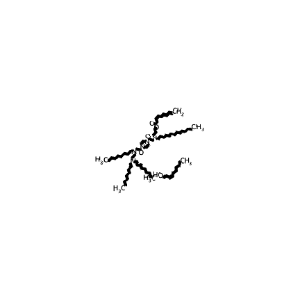 CCCCCC/C=C\CC(=O)OCCCN(CCCCCCCCCCCCCC)CC(=O)N1CCN(C(=O)CN(CCCCCCCCC)CCN(CCCCCCCCC)CCCCCCCCC)CC1.CCCCCC/C=C\CCO